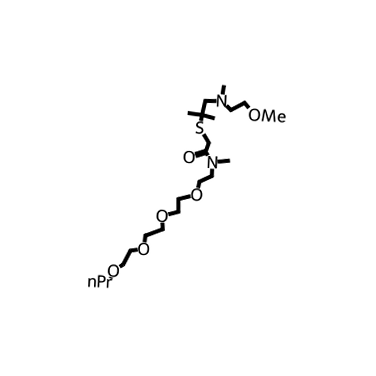 CCCOCCOCCOCCOCCN(C)C(=O)CSC(C)(C)CN(C)CCOC